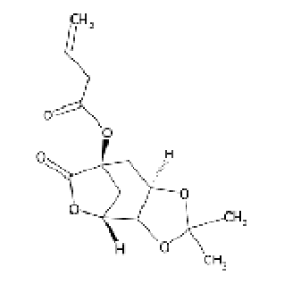 C=CCC(=O)O[C@@]12C[C@@H](OC1=O)C1OC(C)(C)O[C@@H]1C2